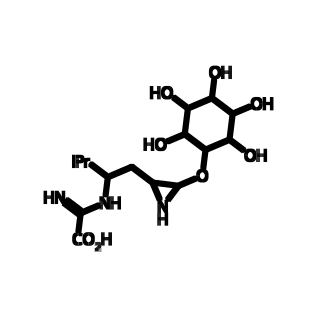 CC(C)C(CC1NC1OC1C(O)C(O)C(O)C(O)C1O)NC(=N)C(=O)O